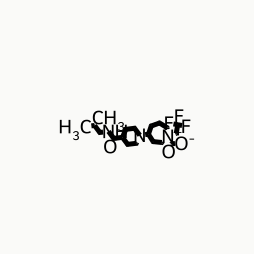 CC(C)CNC(=O)C1CCN(C2CCC[N+](CC(F)(F)F)(C(=O)[O-])CC2)CC1